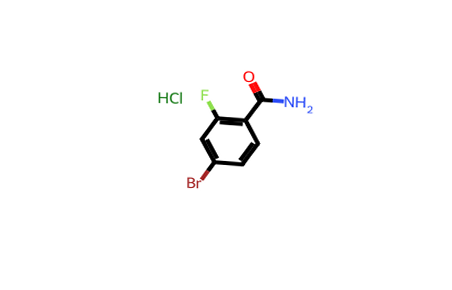 Cl.NC(=O)c1ccc(Br)cc1F